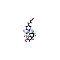 CCCCC1CCN(C[C@@H](C)CN2C(=O)CCc3cc(F)c(F)cc32)CC1